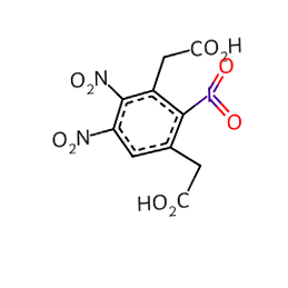 O=C(O)Cc1cc([N+](=O)[O-])c([N+](=O)[O-])c(CC(=O)O)c1I(=O)=O